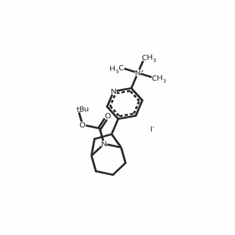 CC(C)(C)OC(=O)N1C2CCCC1C(c1ccc([N+](C)(C)C)nc1)C2.[I-]